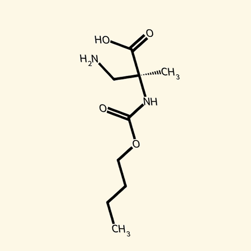 CCCCOC(=O)N[C@@](C)(CN)C(=O)O